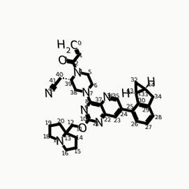 C=CC(=O)N1CCN(c2nc(OCC34CCCN3CCC4)nc3cc(-c4cccc5c4[C@H]4C[C@H]4C5)cnc23)C[C@@H]1CC#N